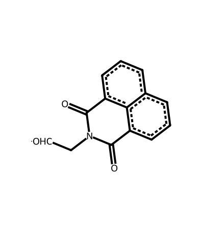 O=[C]CN1C(=O)c2cccc3cccc(c23)C1=O